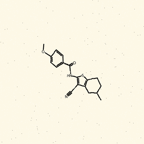 COc1ccc(C(=O)Nc2sc3c(c2C#N)CC(C)CC3)cc1